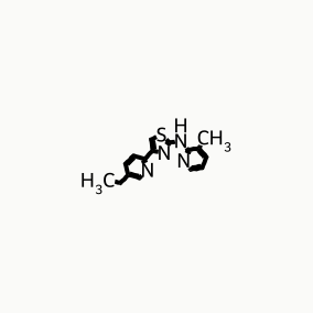 CCc1ccc(-c2csc(Nc3ncccc3C)n2)nc1